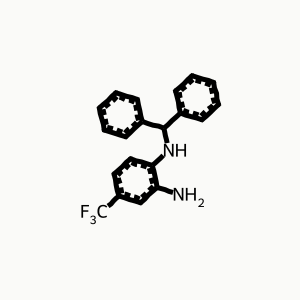 Nc1cc(C(F)(F)F)ccc1NC(c1ccccc1)c1ccccc1